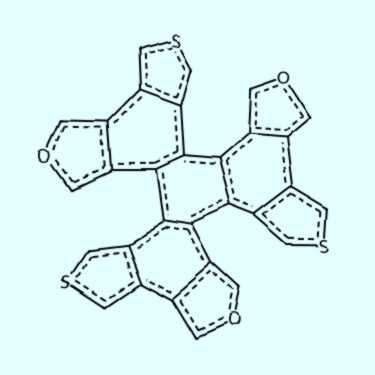 c1occ2c1c1cscc1c1c2c2c3cscc3c3cocc3c2c2c3cscc3c3cocc3c12